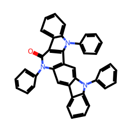 O=c1c2c3ccccc3n(-c3ccccc3)c2c2cc3c(cc2n1-c1ccccc1)c1ccccc1n3-c1ccccc1